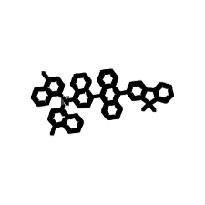 Cc1ccc(N(c2ccc(C)c3ccccc23)c2ccc(-c3c4ccccc4c(-c4ccc5c(c4)C(C)(C)c4ccccc4-5)c4ccccc34)c3ccccc23)c2ccccc12